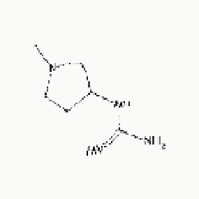 CN1CCC(NC(=N)N)C1